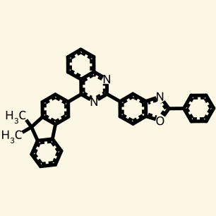 CC1(C)c2ccccc2-c2cc(-c3nc(-c4ccc5oc(-c6ccccc6)nc5c4)nc4ccccc34)ccc21